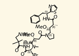 CC[C@H](C)[C@@H]([C@@H](CC(=O)N1CCC[C@H]1[C@H](OC)[C@@H](C)C(=O)N[C@@H](Cc1ccccc1)c1nccs1)OC)N(C)[C@H](C(=O)NC(=O)C(C)(C)CNC)C(C)C